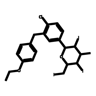 CCOc1ccc(Cc2cc(C3OC(CI)C(I)C(C)C3I)ccc2Cl)cc1